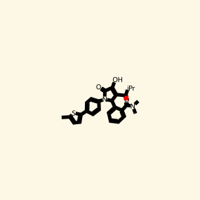 Cc1ccc(-c2ccc(N3C(=O)C(O)=C(C(=O)C(C)C)C3c3ccccc3C(=O)N(C)C)cc2)s1